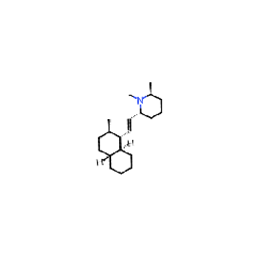 C[C@@H]1CC[C@H]2CCCC[C@@H]2[C@H]1/C=C/[C@H]1CCC[C@H](C)N1C